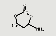 NC1CCO[PH](=O)O1.[Cu]